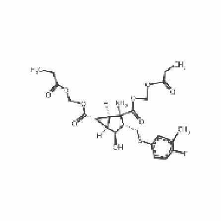 CCC(=O)OCOC(=O)[C@H]1[C@@H]2[C@H](O)[C@@H](CSc3ccc(F)c(C)c3)[C@@](N)(C(=O)OCOC(=O)CC)[C@H]12